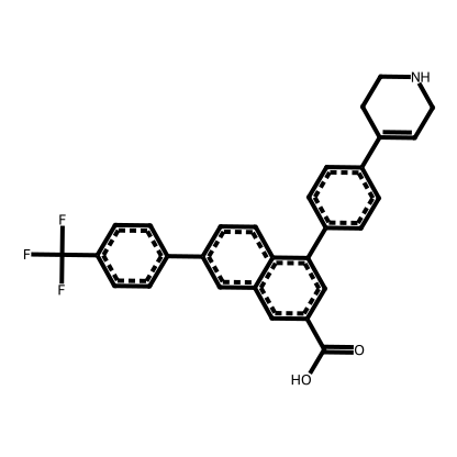 O=C(O)c1cc(-c2ccc(C3=CCNCC3)cc2)c2ccc(-c3ccc(C(F)(F)F)cc3)cc2c1